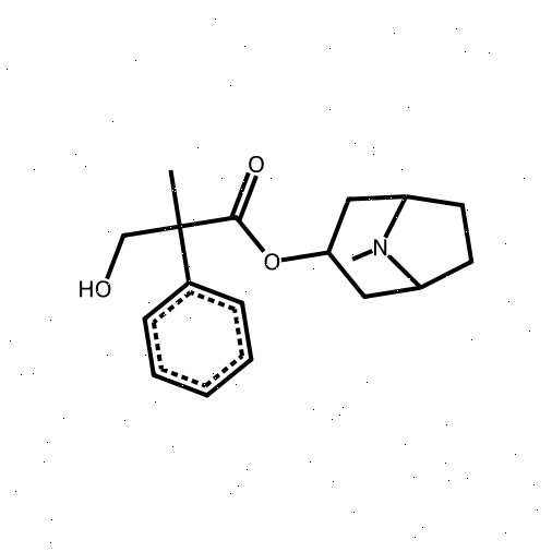 CN1C2CCC1CC(OC(=O)C(C)(CO)c1ccccc1)C2